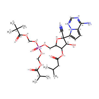 CC(C)CC(=O)OC1C(COP(=O)(OCOC(=O)C(C)C)OCOC(=O)C(C)(C)C)OC(C#N)(c2ccc3c(N)ncnn23)C1O